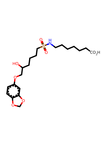 O=C(O)CCCCCCNS(=O)(=O)CCCCC(O)COc1ccc2c(c1)OCO2